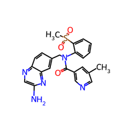 Cc1cncc(C(=O)N(Cc2ccc3ncc(N)nc3c2)c2ccccc2S(C)(=O)=O)c1